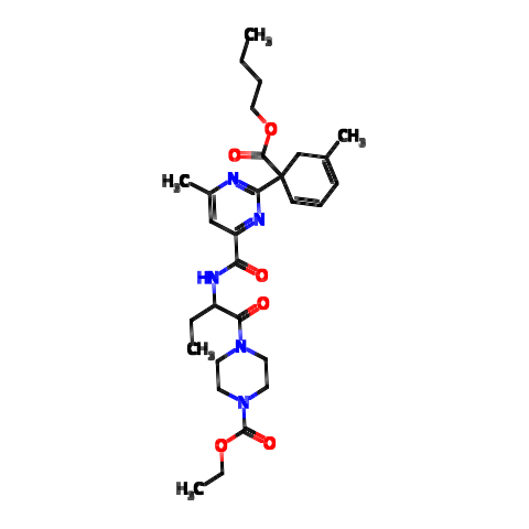 CCCCOC(=O)C1(c2nc(C)cc(C(=O)NC(CC)C(=O)N3CCN(C(=O)OCC)CC3)n2)C=CC=C(C)C1